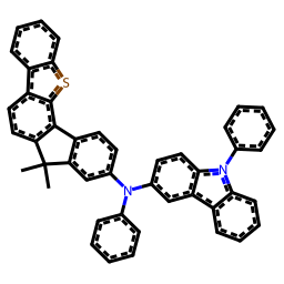 CC1(C)c2cc(N(c3ccccc3)c3ccc4c(c3)c3ccccc3n4-c3ccccc3)ccc2-c2c1ccc1c2sc2ccccc21